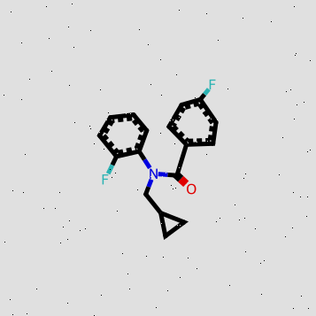 O=C(c1ccc(F)cc1)N(CC1CC1)c1ccccc1F